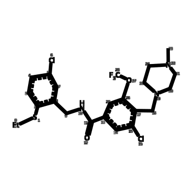 CCSc1ccc(Cl)cc1CNC(=O)c1cc(Cl)c(CN2CCN(C)CC2)c(OC(F)(F)F)c1